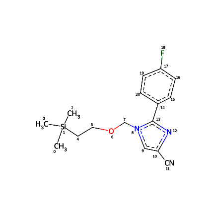 C[Si](C)(C)CCOCn1cc(C#N)nc1-c1ccc(F)cc1